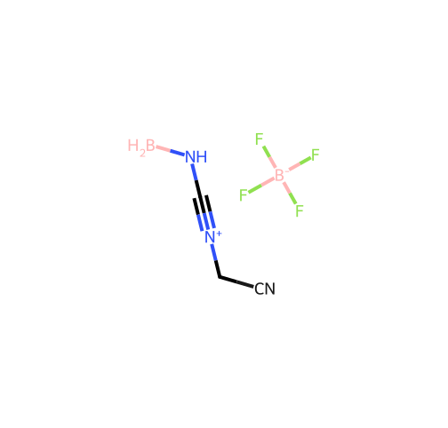 BNC#[N+]CC#N.F[B-](F)(F)F